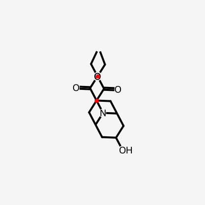 CCOC(=O)CN1C2CC(O)CC1CC(C(=O)OCC)C2